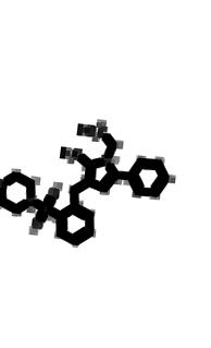 Cc1c(Cc2ccccc2S(=O)(=O)N2CCOCC2)cc(-c2ccccc2)n1CC(=O)O